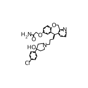 NC(=O)COc1ccc2c(c1)C(=CCCN1CCC(O)(c3ccc(Cl)cc3)CC1)c1cccnc1CO2